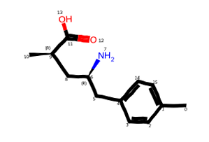 Cc1ccc(C[C@H](N)C[C@@H](C)C(=O)O)cc1